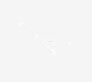 CCCCCCCCCCCCCCCCCC(=O)OCCCCCCC(CCCCCC(CCCN(C)C)OC(=O)CCCCCCCCCCCCCCCCC)OC(=O)NCCCN(C)C